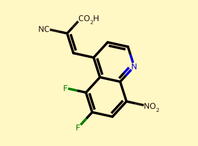 N#CC(=Cc1ccnc2c([N+](=O)[O-])cc(F)c(F)c12)C(=O)O